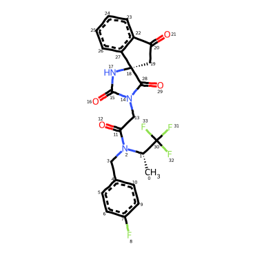 C[C@H](N(Cc1ccc(F)cc1)C(=O)CN1C(=O)N[C@]2(CC(=O)c3ccccc32)C1=O)C(F)(F)F